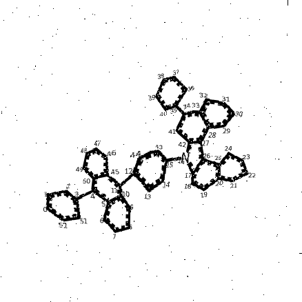 c1ccc(-c2c3ccccc3c(-c3ccc(-n4c5ccc6ccccc6c5c5c6ccccc6c(-c6ccccc6)cc54)cc3)c3ccccc23)cc1